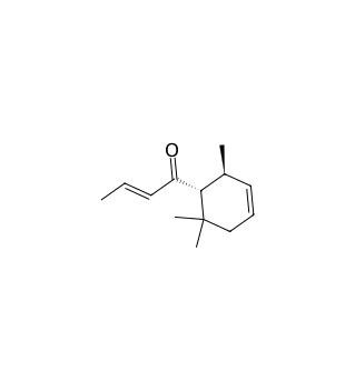 C/C=C/C(=O)[C@@H]1[C@@H](C)C=CCC1(C)C